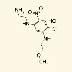 COCCNc1cc(NCCN)c([N+](=O)[O-])cc1Cl.Cl